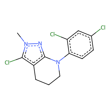 Cn1nc2c(c1Cl)CCCN2c1ccc(Cl)cc1Cl